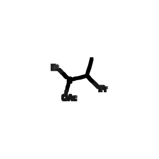 CCB(OC(C)=O)C(C)C(C)C